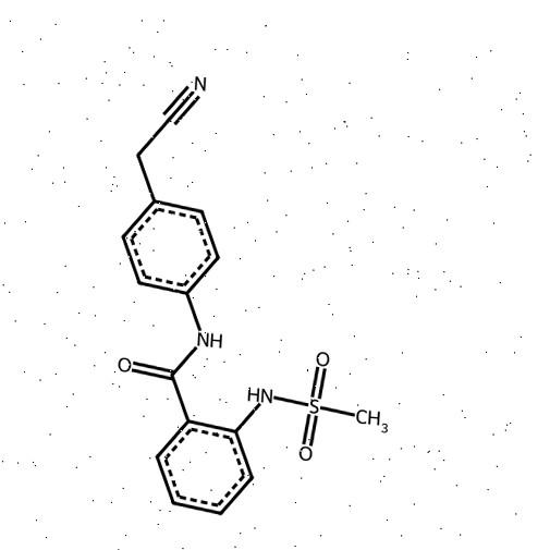 CS(=O)(=O)Nc1ccccc1C(=O)Nc1ccc(CC#N)cc1